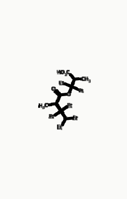 CCC(CC)C(CC)(CC)C(C)C(=O)OC(CC)(CC)C(C)C(=O)O